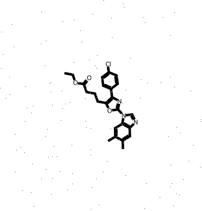 CCOC(=O)CCCc1oc(-n2cnc3cc(C)c(C)cc32)nc1-c1ccc(Cl)cc1